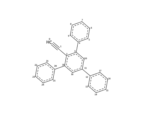 C#Cc1c(-c2ccccc2)[c]c(-c2ccccc2)cc1-c1ccccc1